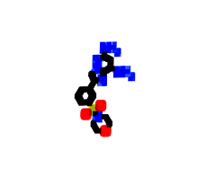 Nc1cc(N)c2nc(-c3cccc(S(=O)(=O)N4CCOCC4)c3)cn2n1